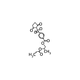 C=CC(=O)OC(C)COC(=O)c1ccc(S(=O)(=O)C2C(=O)CCC2=O)cc1